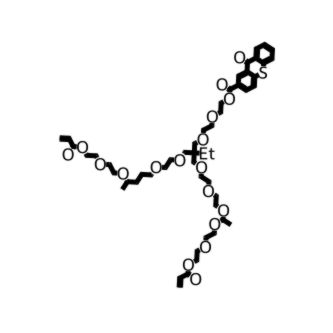 C=CC(=O)OCCOCCOC(C)CCCOCCOCC(CC)(COCCOCCOC(=O)c1ccc2sc3ccccc3c(=O)c2c1)COCCOCCOC(C)OCCOCCOC(=O)C=C